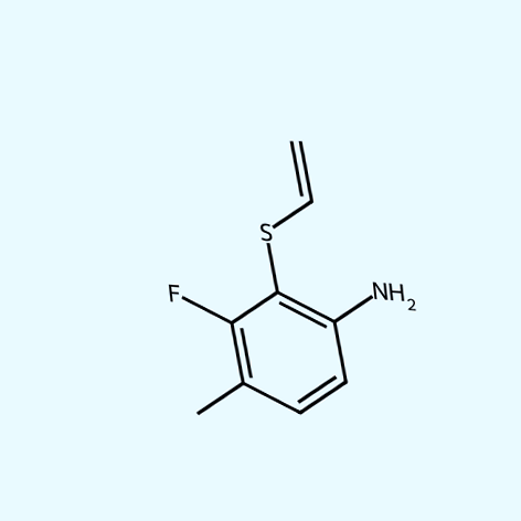 C=CSc1c(N)ccc(C)c1F